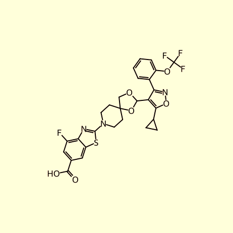 O=C(O)c1cc(F)c2nc(N3CCC4(CC3)COC(c3c(-c5ccccc5OC(F)(F)F)noc3C3CC3)O4)sc2c1